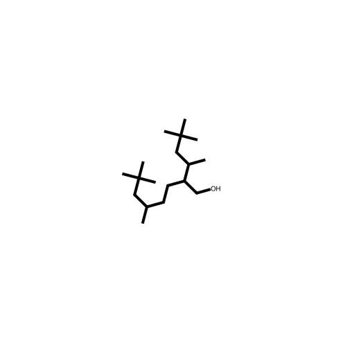 CC(CCC(CO)C(C)CC(C)(C)C)CC(C)(C)C